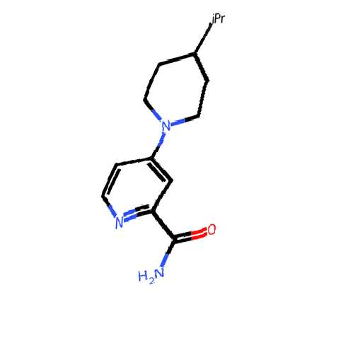 CC(C)C1CCN(c2ccnc(C(N)=O)c2)CC1